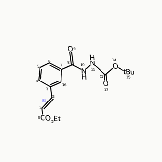 CCOC(=O)/C=C/c1cccc(C(=O)NNC(=O)OC(C)(C)C)c1